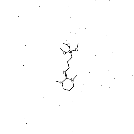 CO[Si](CCCN=C1N(C)CCCN1C)(OC)OC